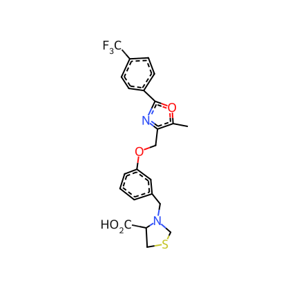 Cc1oc(-c2ccc(C(F)(F)F)cc2)nc1COc1cccc(CN2CSCC2C(=O)O)c1